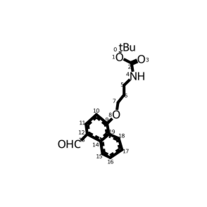 CC(C)(C)OC(=O)NCCCOc1ccc(C=O)c2ccccc12